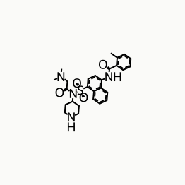 Cc1ccccc1C(=O)Nc1ccc(S(=O)(=O)N(C(=O)CN(C)C)C2CCNCC2)c2ccccc12